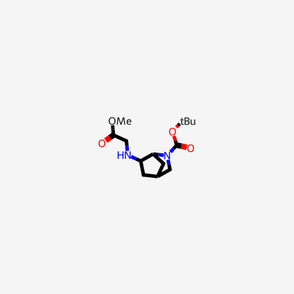 COC(=O)CNC1CC2CC1N(C(=O)OC(C)(C)C)C2